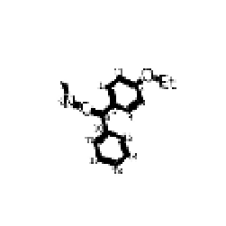 CCOc1ccc(C(=C=NC)c2ccccc2)cc1